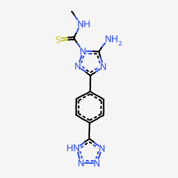 CNC(=S)n1nc(-c2ccc(-c3nnn[nH]3)cc2)nc1N